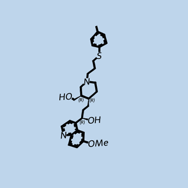 COc1ccc2nccc([C@H](O)CC[C@@H]3CCN(CCCSc4ccc(C)cc4)C[C@@H]3CO)c2c1